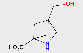 O=C(O)C12CC(CO)(CN1)C2